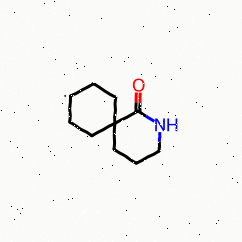 O=C1NCCCC12CC[CH]CC2